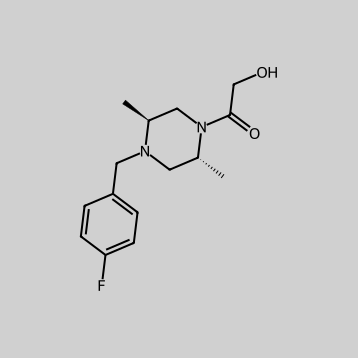 C[C@@H]1CN(Cc2ccc(F)cc2)[C@@H](C)CN1C(=O)CO